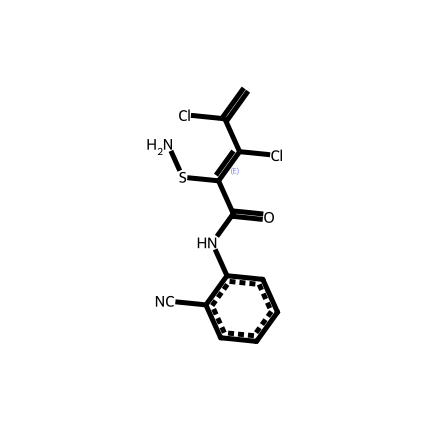 C=C(Cl)/C(Cl)=C(\SN)C(=O)Nc1ccccc1C#N